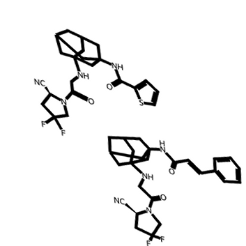 N#C[C@@H]1CC(F)(F)CN1C(=O)CNC12CC3CC(C1)CC(NC(=O)C=Cc1ccccc1)(C3)C2.N#C[C@@H]1CC(F)(F)CN1C(=O)CNC12CC3CC(C1)CC(NC(=O)c1cccs1)(C3)C2